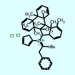 CCCC/[C](Cc1ccccc1)=[Zr+2](/[C]1=CC=CC1)[CH]1C2C=CC=C(C)C2(C)C2(C)C3(C)C=CC=CC3(C)C3(C)C=CC=CC3(C)C12C.[Cl-].[Cl-]